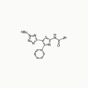 CCCCn1nnc(-c2sc(NC(=O)C(C)C)nc2-c2ccccc2)n1